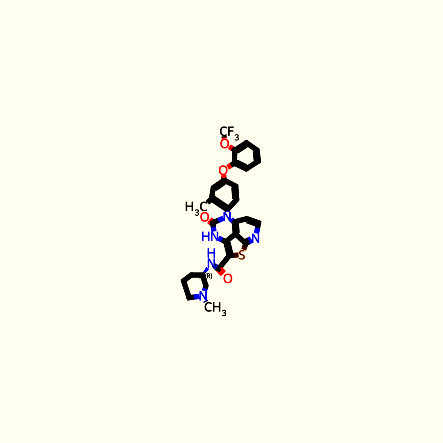 Cc1cc(Oc2ccccc2OC(F)(F)F)ccc1N1C(=O)Nc2c(C(=O)N[C@@H]3CCCN(C)C3)sc3nccc1c23